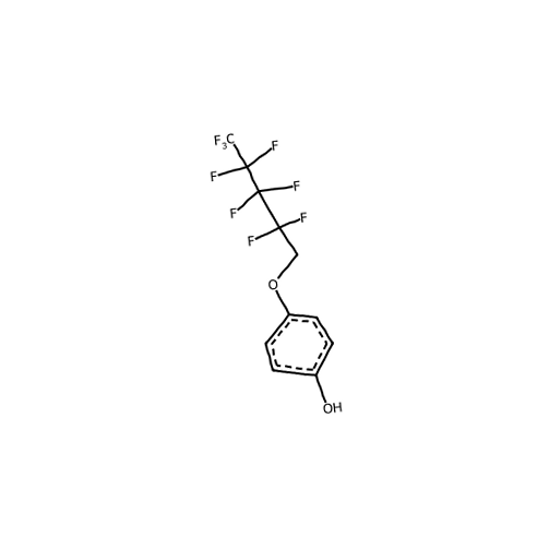 Oc1ccc(OCC(F)(F)C(F)(F)C(F)(F)C(F)(F)F)cc1